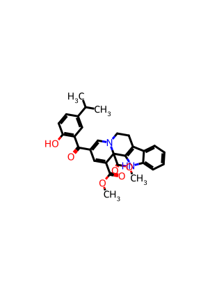 COC(=O)C1=CC(C(=O)c2cc(C(C)C)ccc2O)=CN2CCc3c([nH]c4ccccc34)C12C(=O)OC